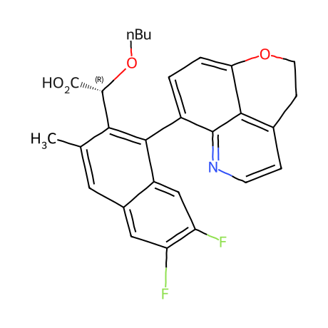 CCCCO[C@@H](C(=O)O)c1c(C)cc2cc(F)c(F)cc2c1-c1ccc2c3c(ccnc13)CCO2